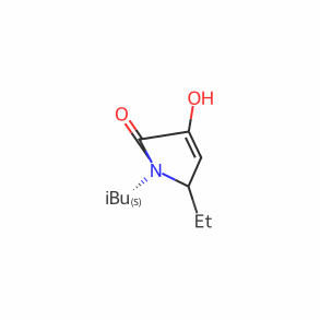 CCC1C=C(O)C(=O)N1[C@@H](C)CC